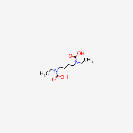 CCN(CCCCN(CC)C(=O)O)C(=O)O